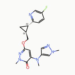 CN(c1cnn(C)c1)c1cc(OC[C@H]2C[C@@H]2c2ccc(F)cn2)nn(C)c1=O